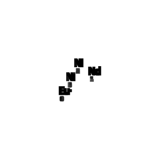 [Eu].[Nd].[Ni].[Ni]